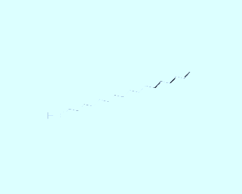 [C]=CC=CC=CCCCCCCCCCCCC